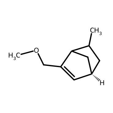 COCC1=C[C@@H]2CC(C)C1C2